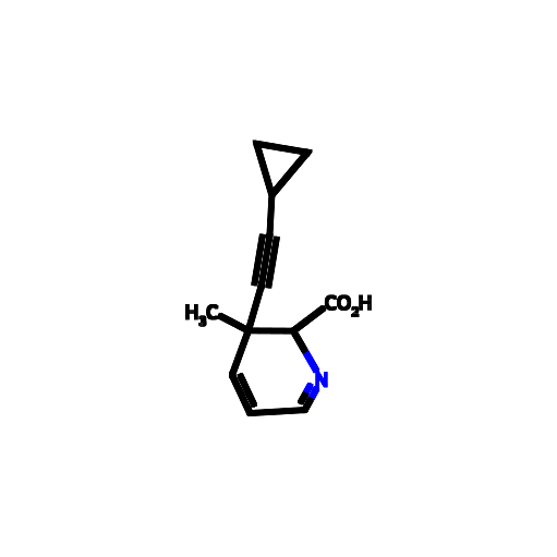 CC1(C#CC2CC2)C=CC=NC1C(=O)O